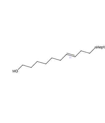 CCCCCCCCC/C=C/CCCCCCO